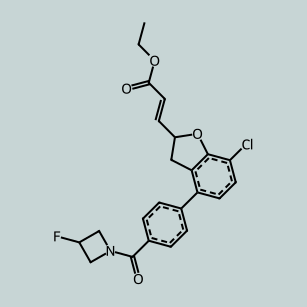 CCOC(=O)/C=C/C1Cc2c(-c3ccc(C(=O)N4CC(F)C4)cc3)ccc(Cl)c2O1